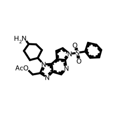 CC(=O)OCc1nc2cnc3c(ccn3S(=O)(=O)c3ccccc3)c2n1C1CCC(N)CC1